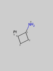 NC1CCC1.[Pt]